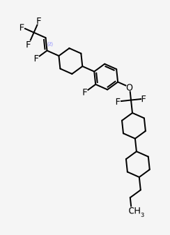 CCCC1CCC(C2CCC(C(F)(F)Oc3ccc(C4CCC(/C(F)=C/C(F)(F)F)CC4)c(F)c3)CC2)CC1